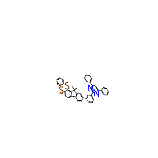 CC1(C)c2cc(-c3cccc(-c4nc(-c5ccccc5)cc(-c5ccccc5)n4)c3)ccc2-c2ccc3c(c21)Sc1ccccc1S3